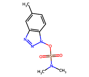 Cc1ccc2c(c1)nnn2OS(=O)(=O)N(C)C